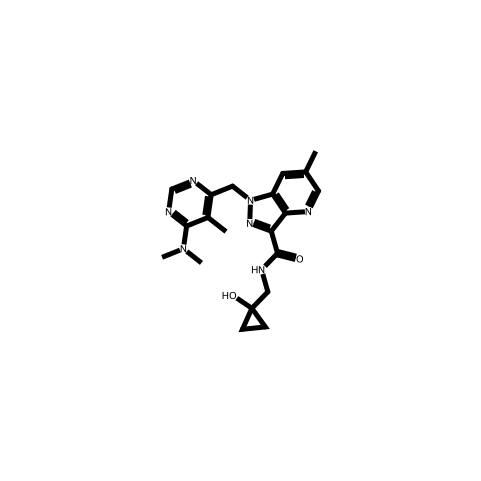 Cc1cnc2c(C(=O)NCC3(O)CC3)nn(Cc3ncnc(N(C)C)c3C)c2c1